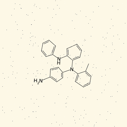 Cc1ccccc1N(c1ccc(N)cc1)c1ccccc1Nc1ccccc1